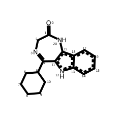 O=C1CN=C(C2CCCCC2)c2[nH]c3ccccc3c2N1